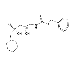 O=C(NC[C@H](O)CP(=O)(O)CC1CCCCC1)OCc1ccccc1